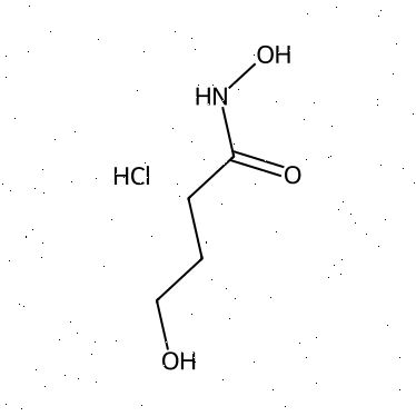 Cl.O=C(CCCO)NO